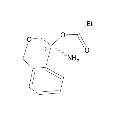 CCC(=O)O[C@]1(N)COCc2ccccc21